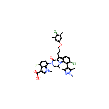 Cc1cc(OCCCc2c3n(c4c(-c5c(C)nn(C)c5C)c(Cl)ccc24)C(C)CN(c2ccc(F)c4c(C(=O)O)cn(C)c24)C3=O)cc(C)c1Cl